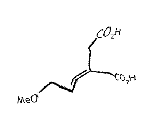 COCC=C(CC(=O)O)C(=O)O